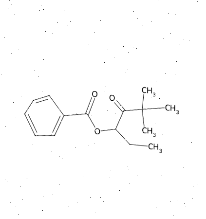 CCC(OC(=O)c1ccccc1)C(=O)C(C)(C)C